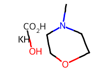 CN1CCOCC1.O=C(O)O.[KH]